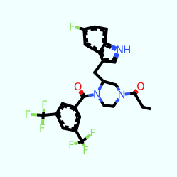 CCC(=O)N1CCN(C(=O)c2cc(C(F)(F)F)cc(C(F)(F)F)c2)C(Cc2c[nH]c3ccc(F)cc23)C1